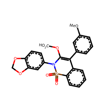 COc1cccc(C2=C(OC(=O)O)N(c3ccc4c(c3)OCO4)S(=O)(=O)c3ccccc32)c1